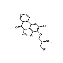 CC(C)C[C@H](N)COc1c(Cl)cc2c3ccncc3c(=O)n(C)c2c1Cl